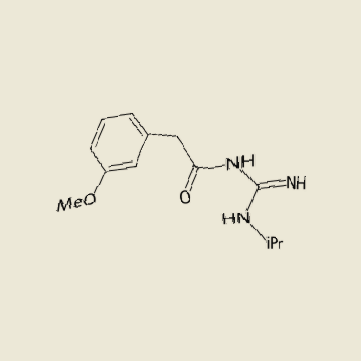 COc1cccc(CC(=O)NC(=N)NC(C)C)c1